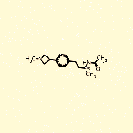 CC(=O)N[C@H](C)CCc1ccc(C2CN(C)C2)cc1